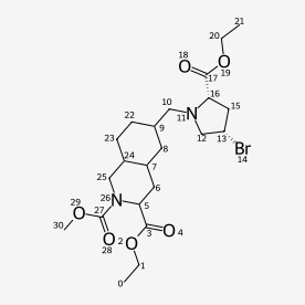 CCOC(=O)C1CC2CC(CN3C[C@@H](Br)C[C@H]3C(=O)OCC)CCC2CN1C(=O)OC